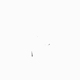 CC[C@H](C)C(NS(=O)(=O)c1cccs1)[C@@H](O)C(C)(C)C